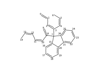 C=C/C=C(\C=C/C)C1(C(=C)/C=C\C=C/C)c2ccccc2-c2ccccc21